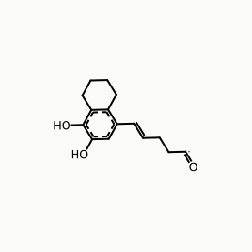 O=[C]CCC=Cc1cc(O)c(O)c2c1CCCC2